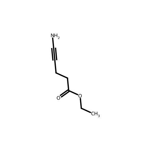 CCOC(=O)CCC#CN